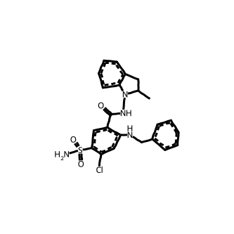 CC1Cc2ccccc2N1NC(=O)c1cc(S(N)(=O)=O)c(Cl)cc1NCc1ccccc1